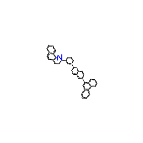 c1cc(-c2ccc3cc(-c4cc5ccccc5c5ccccc45)ccc3c2)cc(-c2ccc3ccc4ccccc4c3n2)c1